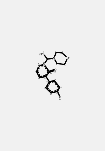 CCCC(N1CCOCC1)n1nccc(-c2ccc(F)cc2)c1=O